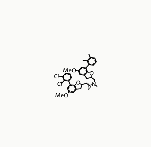 COc1cc2c(c(-c3cccc(C)c3C)c1)OC(CN(C)N(C)CC1Cc3cc(OC)cc(-c4cccc(Cl)c4Cl)c3O1)C2